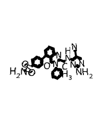 C[C@@H](Nc1nc(N)ncc1C#N)c1nc2cccc(-c3ccc(S(N)(=O)=O)cc3)c2c(=O)n1-c1ccccc1